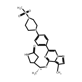 Cc1cnn2cc(-c3ccc(N4CCN(S(C)(=O)=O)CC4)cc3)nc(O[C@H](C)C3CNC(=O)C3)c12